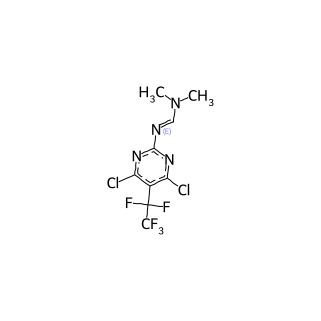 CN(C)/C=N/c1nc(Cl)c(C(F)(F)C(F)(F)F)c(Cl)n1